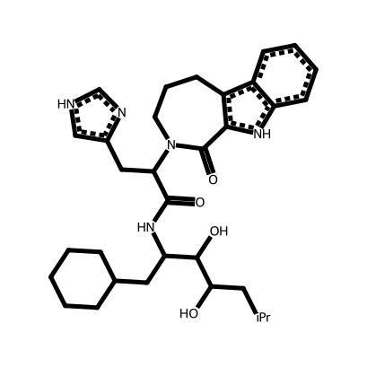 CC(C)CC(O)C(O)C(CC1CCCCC1)NC(=O)C(Cc1c[nH]cn1)N1CCCc2c([nH]c3ccccc23)C1=O